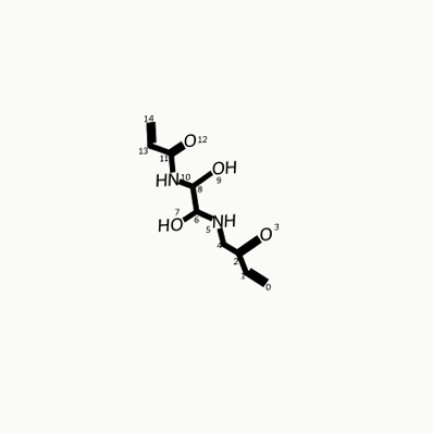 C=CC(=O)CNC(O)C(O)NC(=O)C=C